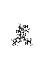 BC1N(CC)C(=O)C(C2OC3CC(C(C)(C)C)CCC3N2CCOC(=O)C(C)C)C(=O)N1CC